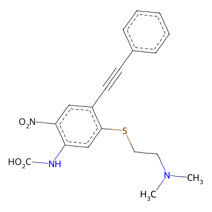 CN(C)CCSc1cc(NC(=O)O)c([N+](=O)[O-])cc1C#Cc1ccccc1